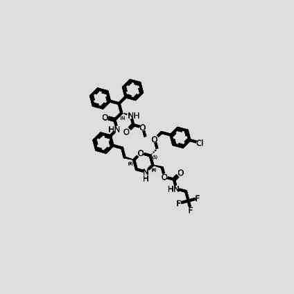 COC(=O)N[C@H](C(=O)Nc1ccccc1CC[C@@H]1CN[C@H](COC(=O)NCC(F)(F)F)[C@@H](COCc2ccc(Cl)cc2)O1)C(c1ccccc1)c1ccccc1